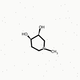 CN1CC[C@@H](O)[C@@H](O)C1